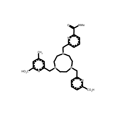 CNC(=O)c1cccc(CN2CCN(Cc3cccc(C(=O)O)n3)CCN(Cc3cc(C)cc(C(=O)O)n3)CC2)n1